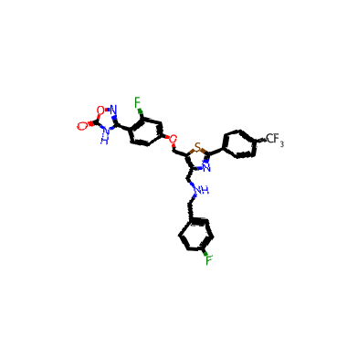 O=c1[nH]c(-c2ccc(OCc3sc(-c4ccc(C(F)(F)F)cc4)nc3CNCc3ccc(F)cc3)cc2F)no1